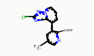 COc1ncc(C(F)(F)F)cc1-c1cccn2nc(Cl)nc12